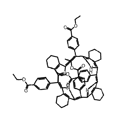 CCOC(=O)c1ccc(/C2=C3N=C(C4=C/3CCCC4)/C(c3ccc(C(=O)OCC)cc3)=c3\[nH]/c(c4c3CCCC4)=C(/c3ccc(C(=O)OCC)cc3)C3=N/C(=C(/c4ccc(C(=O)OCC)cc4)c4[nH]c2c2c4CCCC2)C2=C3CCCC2)cc1